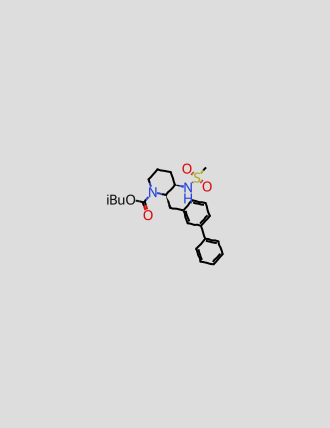 CC(C)COC(=O)N1CCC[C@@H](NS(C)(=O)=O)[C@H]1Cc1cccc(-c2ccccc2)c1